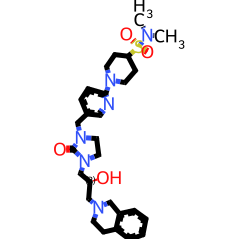 CN(C)S(=O)(=O)C1CCN(c2ccc(CN3CCN(C[C@H](O)CN4CCc5ccccc5C4)C3=O)cn2)CC1